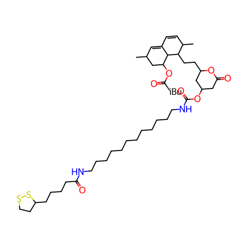 CCC(C)C(=O)OC1CC(C)C=C2C=CC(C)C(CCC3CC(OC(=O)NCCCCCCCCCCCCNC(=O)CCCCC4CCSS4)CC(=O)O3)C21